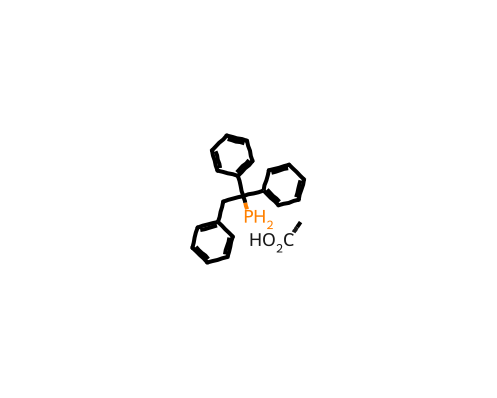 CC(=O)O.PC(Cc1ccccc1)(c1ccccc1)c1ccccc1